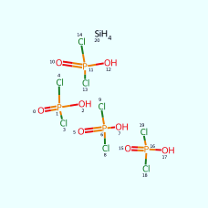 O=P(O)(Cl)Cl.O=P(O)(Cl)Cl.O=P(O)(Cl)Cl.O=P(O)(Cl)Cl.[SiH4]